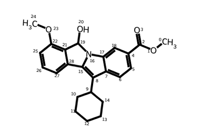 COC(=O)c1ccc2c(C3CCCCC3)c3n(c2c1)C(O)c1c(OC)cccc1-3